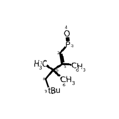 CC(=CP=O)C(C)(C)CC(C)(C)C